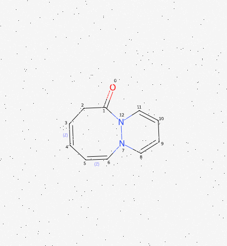 O=C1C/C=C\C=C/N2C=CC=CN12